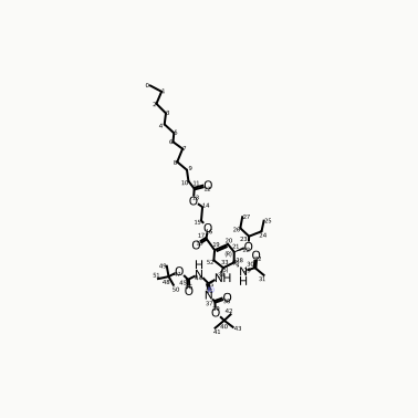 CCCCCCCCCCCC(=O)OCCOC(=O)C1=C[C@@H](OC(CC)CC)[C@H](NC(C)=O)[C@@H](N/C(=N\C(=O)OC(C)(C)C)NC(=O)OC(C)(C)C)C1